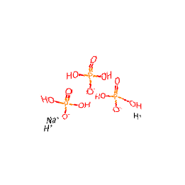 O=P([O-])(O)O.O=P([O-])(O)O.O=P([O-])(O)O.[H+].[H+].[Na+]